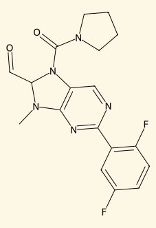 CN1c2nc(-c3cc(F)ccc3F)ncc2N(C(=O)N2CCCC2)C1C=O